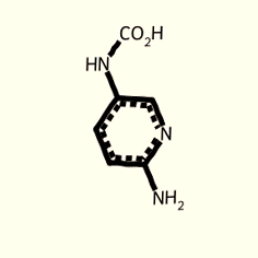 Nc1ccc(NC(=O)O)cn1